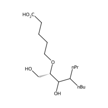 CCCCC(CCC)C(O)[C@H](CO)OCCCCC(=O)O